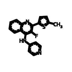 Cc1ccc(-c2nc3ccccc3c(Nc3ccncc3)c2F)s1